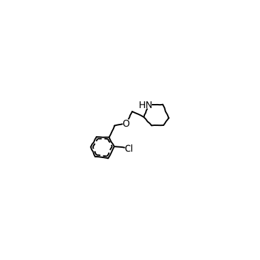 Clc1ccccc1COCC1CCCCN1